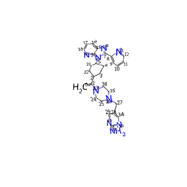 C=C(C1CCC(n2c(-c3ccccn3)nc3cccnc32)CC1)N1CCN(Cc2cnc(N)nc2)CC1